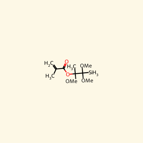 C=C(C)C(=O)OC(C)(OC)C([SiH3])(OC)OC